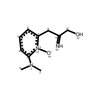 CN(C)c1cccc(CC(=N)CO)[n+]1[O-]